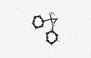 CC1(c2ccccc2)CN1c1ccccc1